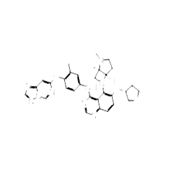 Cc1cc(Nc2ncnc3ccc(O[C@H]4CCOC4)c(N4C[C@H]5[C@@H]4CCN5C)c23)ccc1Oc1cc2ncnn2cn1